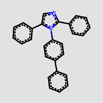 c1ccc(-c2ccc(-n3c(-c4ccccc4)cnc3-c3ccccc3)cc2)cc1